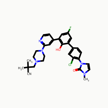 Cn1ccn(-c2ccc(-c3cc(F)cc(-c4ccnc(N5CCN(CC(C)(C)C#N)CC5)c4)c3O)cc2Cl)c1=O